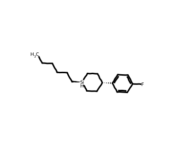 CCCCCC[Si@H]1CC[C@H](c2ccc(F)cc2)CC1